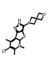 CC1=C2c3n[nH]c(N4CC5(COC5)C4)c3SC2N(C)C(C)=C1Cl